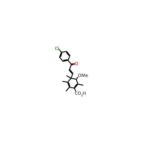 COC1C(C)=C(C(=O)O)C(C)=C(C)C1(C)C=CC(=O)c1ccc(Cl)cc1